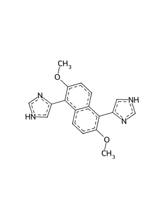 COc1ccc2c(-c3c[nH]cn3)c(OC)ccc2c1-c1c[nH]cn1